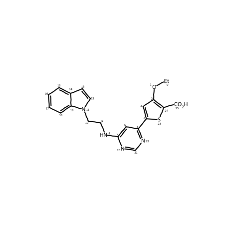 CCOc1cc(-c2cc(NCCn3ccc4ccccc43)ncn2)sc1C(=O)O